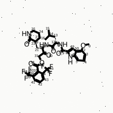 COc1cccc2[nH]c(C(=O)N[C@@H](CC(C)C)C(=O)N[C@@H](C[C@@H]3CCCNC3=O)C(=O)COC(=O)c3c(C(F)(F)F)cccc3C(F)(F)F)cc12